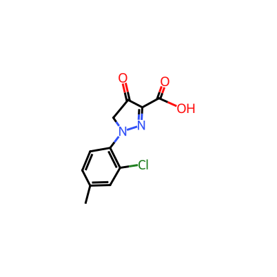 Cc1ccc(N2CC(=O)C(C(=O)O)=N2)c(Cl)c1